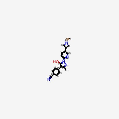 CSN1CC(c2ccc(-n3nc(C)c(-c4ccc(C#N)cc4)c3O)nc2)C1